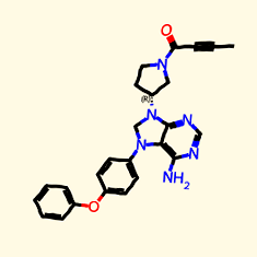 CC#CC(=O)N1CC[C@@H](N2CN(c3ccc(Oc4ccccc4)cc3)c3c(N)ncnc32)C1